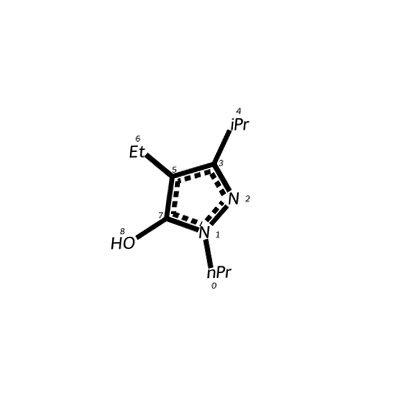 CCCn1nc(C(C)C)c(CC)c1O